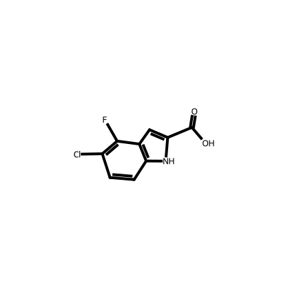 O=C(O)c1cc2c(F)c(Cl)ccc2[nH]1